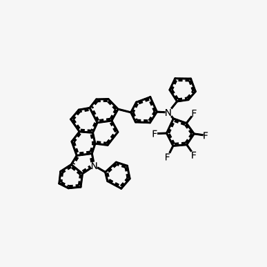 Fc1c(F)c(F)c(N(c2ccccc2)c2ccc(-c3ccc4ccc5cc6c7ccccc7n(-c7ccccc7)c6c6ccc3c4c56)cc2)c(F)c1F